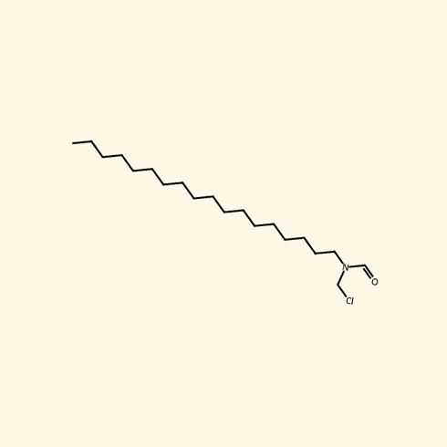 CCCCCCCCCCCCCCCCCCN(C=O)CCl